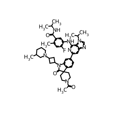 CC(=O)N1CCC2(CC1)C(=O)N(C1CC(N3CCCC(C)C3)C1)c1cc(-c3cc4ncn(C(C)C)c4c(Nc4cc(C(=O)NC(C)C)c(C)cc4F)n3)ccc12